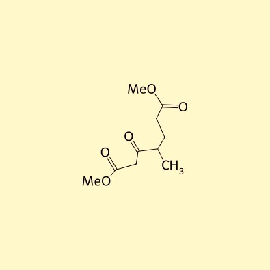 COC(=O)CCC(C)C(=O)CC(=O)OC